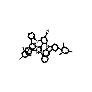 Cc1cc(C)c(-c2ccc3c(c2)c2ccccc2n3-c2cc(C#N)cc(-n3c4ccccc4c4cc(-c5c(C)cc(C)cc5C)ccc43)c2-c2cc(-c3ccccc3)nc(-c3ccccc3)n2)c(C)c1